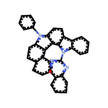 c1ccc(-n2c3ccc4ccccc4c3c3c2ccc2c4ccccc4n(-c4ncc5ccccc5n4)c23)cc1